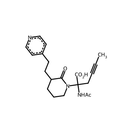 CC#CCC(NC(C)=O)(C(=O)O)N1CCCC(CCc2ccncc2)C1=O